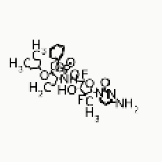 C=C[C@H](NP(=O)(OC[C@@]1(F)O[C@@H](n2ccc(N)nc2=O)[C@](C)(F)[C@@H]1O)Oc1ccccc1)C(=O)OC(CC)CC